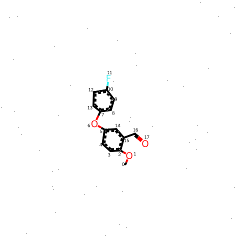 COc1ccc(Oc2ccc(F)cc2)cc1C=O